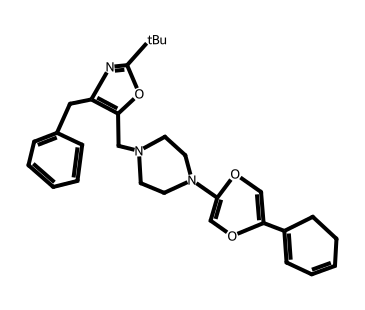 CC(C)(C)c1nc(Cc2ccccc2)c(CN2CCN(C3=COC(C4=CC=CCC4)=CO3)CC2)o1